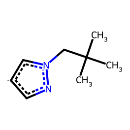 CC(C)(C)Cn1c[c]cn1